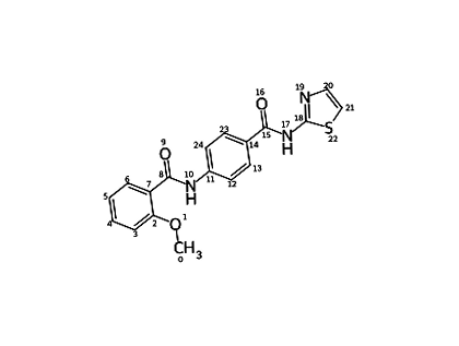 COc1ccccc1C(=O)Nc1ccc(C(=O)Nc2nccs2)cc1